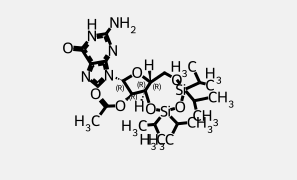 CC(=O)O[C@@H]1[C@@H]2O[Si](C(C)C)(C(C)C)O[Si](C(C)C)(C(C)C)OC[C@H]2O[C@H]1n1cnc2c(=O)[nH]c(N)nc21